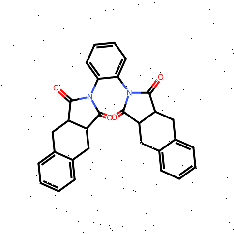 O=C1C2Cc3ccccc3CC2C(=O)N1c1ccccc1N1C(=O)C2Cc3ccccc3CC2C1=O